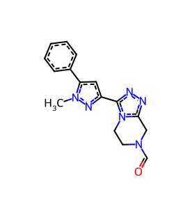 Cn1nc(-c2nnc3n2CCN(C=O)C3)cc1-c1ccccc1